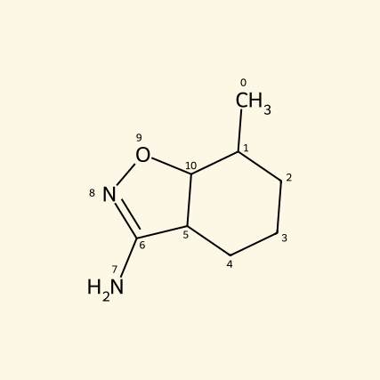 CC1CCCC2C(N)=NOC12